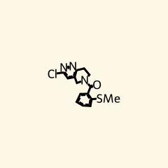 CSc1ccccc1C(=O)N1CCc2nnc(Cl)cc2C1